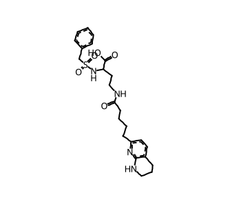 O=C(CCCCc1ccc2c(n1)NCCC2)NCCC(NS(=O)(=O)Cc1ccccc1)C(=O)O